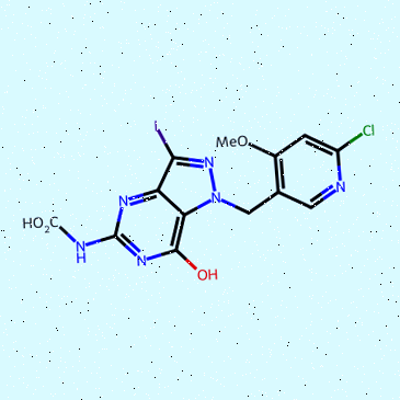 COc1cc(Cl)ncc1Cn1nc(I)c2nc(NC(=O)O)nc(O)c21